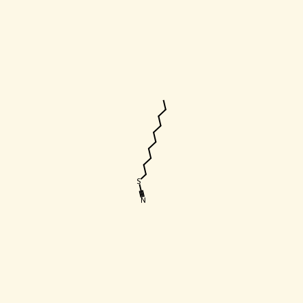 CCCCCCCCCCSC#N